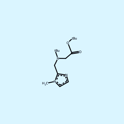 Cn1ccnc1CN(CC(=O)OC(C)(C)C)C(C)(C)C